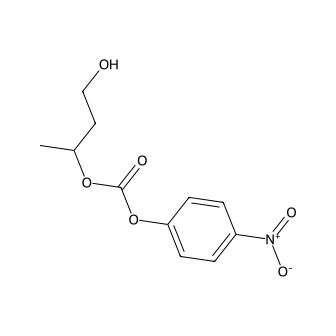 CC(CCO)OC(=O)Oc1ccc([N+](=O)[O-])cc1